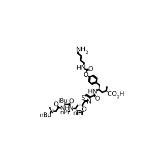 CCCCN(C)CC(=O)N[C@H](C(=O)N(CCC)[C@H](C[C@@H](OCCC)c1nc(C(=O)N[C@@H](Cc2ccc(OC(=O)NCCCCN)cc2)C[C@H](C)C(=O)O)cs1)C(C)C)[C@@H](C)CC